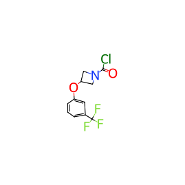 O=C(Cl)N1CC(Oc2cccc(C(F)(F)F)c2)C1